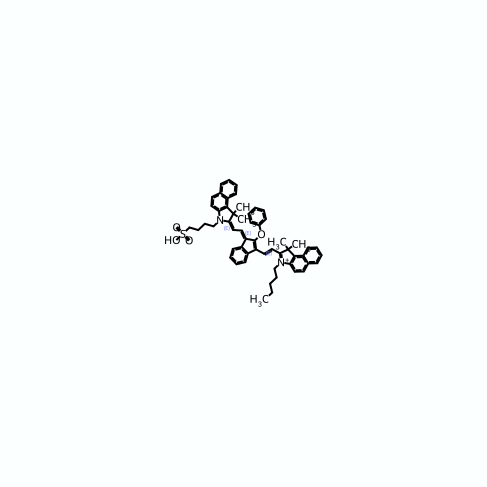 CCCCC[N+]1=C(/C=C/C2=C(Oc3ccccc3)C(=C/C=C3/N(CCCCS(=O)(=O)O)c4ccc5ccccc5c4C3(C)C)/c3ccccc32)C(C)(C)c2c1ccc1ccccc21